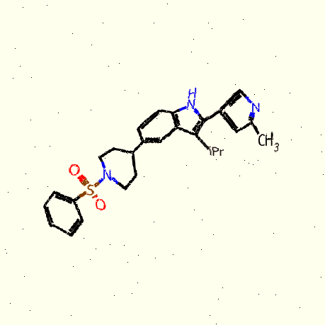 Cc1cc(-c2[nH]c3ccc(C4CCN(S(=O)(=O)c5ccccc5)CC4)cc3c2C(C)C)ccn1